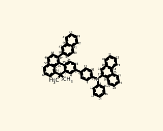 CC1(C)c2cc(-c3ccc(N(c4ccccc4)c4cc5ccccc5c5ccccc45)cc3)ccc2-c2c(-c3ccc4ccccc4c3)ccc3cccc1c23